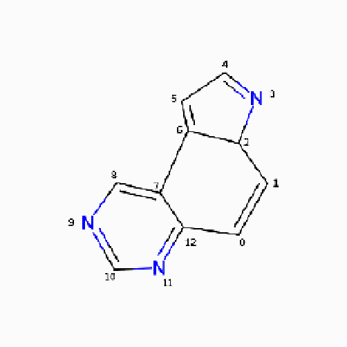 C1=CC2N=CC=C2c2cncnc21